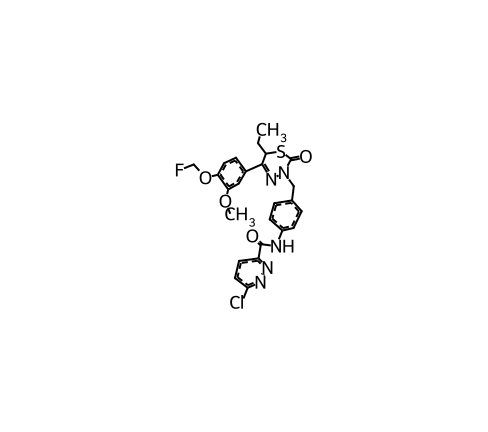 CCC1SC(=O)N(Cc2ccc(NC(=O)c3ccc(Cl)nn3)cc2)N=C1c1ccc(OCF)c(OC)c1